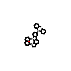 c1ccc(-n2ccc3ccc4c5cc(N6c7ccccc7Sc7ccccc76)ccc5n(-c5ccccc5)c4c32)cc1